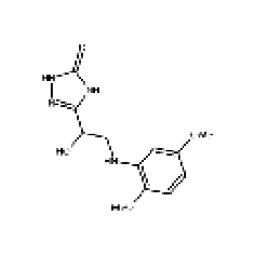 COc1ccc(OC)c(NCC(O)c2n[nH]c(=O)[nH]2)c1